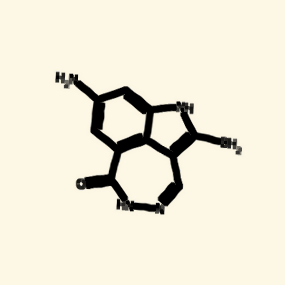 Bc1[nH]c2cc(N)cc3c2c1C=NNC3=O